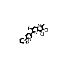 Cc1nc2cc(F)c(-c3ccc(P4(=O)CCCC4)nc3)nc2c(Cl)c1Cl